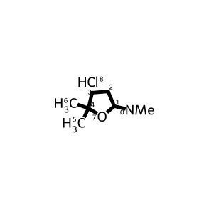 CNC1CCC(C)(C)O1.Cl